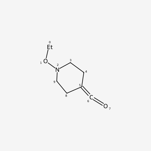 CCON1CCC(=C=O)CC1